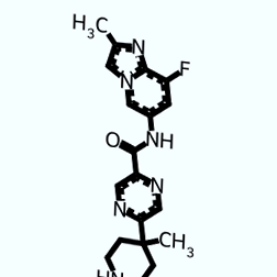 Cc1cn2cc(NC(=O)c3cnc(C4(C)CCNCC4)cn3)cc(F)c2n1